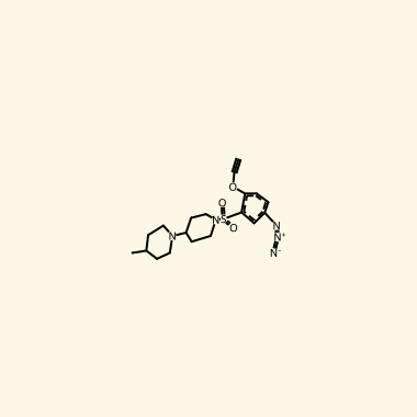 C#COc1ccc(N=[N+]=[N-])cc1S(=O)(=O)N1CCC(N2CCC(C)CC2)CC1